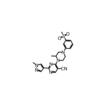 CC1CN(c2cccc(S(C)(=O)=O)c2)CCN1c1nc(-c2cnn(C)c2)ncc1C#N